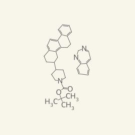 C1=NCN=c2ccccc2=C1.CC(C)(C)OC(=O)N1CCC(C2CCc3ccc4c(c3C2)CCc2ccccc2-4)CC1